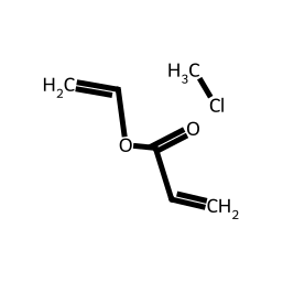 C=COC(=O)C=C.CCl